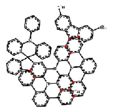 CC(C)(C)c1cc2c3c(c1)N(c1c(-c4ccccc4)cccc1-c1ccccc1)c1cc4c(cc1B3c1ccc(-n3c5ccc(C(C)(C)C)cc5c5cc(C(C)(C)C)ccc53)cc1N2c1c(-c2ccccc2)cccc1-c1ccccc1)C1(c2ccccc2-4)c2ccccc2N(c2ccccc2)c2ccccc21